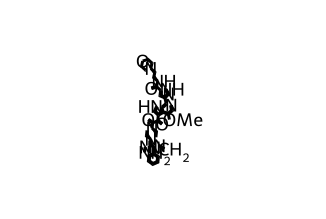 C=NN(/C(=N\N)N1CCN(C(=O)C(=O)c2c[nH]c3c(-c4cc(C(=O)NCCN5CCOCC5)[nH]n4)ncc(OC)c23)CC1)c1ccccc1